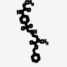 C=CC(=O)Nc1ccc(S(=O)(=O)CNCCN(C)C(=O)OCc2ccccc2)cc1